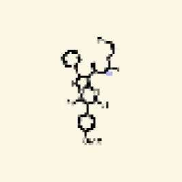 C=C(/C=C(/C)C/C=C\CC)c1c(-c2ccccc2)nn2c(CC)c(-c3ccc(OC)cc3)c(Cl)nc12